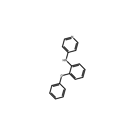 c1ccc(Oc2ccccc2Nc2ccncc2)cc1